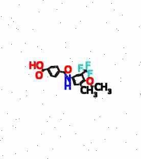 CCOc1c(C)cc(NC(=O)c2ccc(C(=O)O)cc2)cc1C(F)(F)F